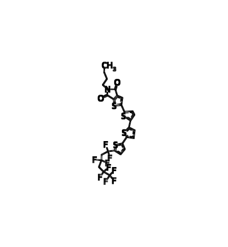 CCCCN1C(=O)c2cc(-c3ccc(-c4ccc(-c5ccc(C(F)(F)CC(F)(F)CC(F)(F)C(F)(F)F)s5)s4)s3)sc2C1=O